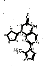 Cc1nccn1-c1ncc2c(n1)N(C1CCCC1)CC(=O)N2